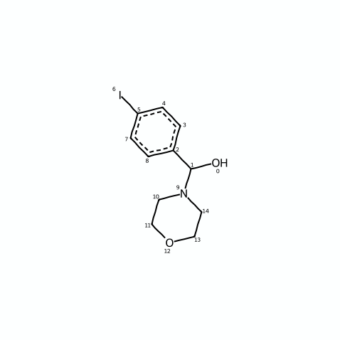 OC(c1ccc(I)cc1)N1CCOCC1